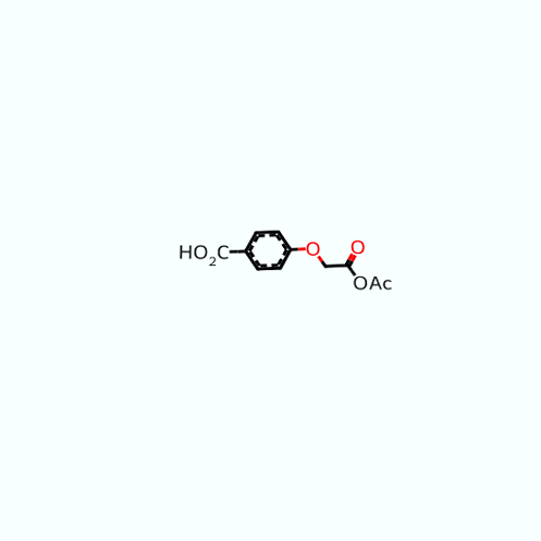 CC(=O)OC(=O)COc1ccc(C(=O)O)cc1